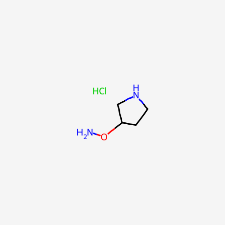 Cl.NOC1CCNC1